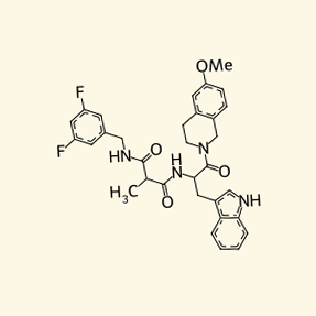 COc1ccc2c(c1)CCN(C(=O)C(Cc1c[nH]c3ccccc13)NC(=O)C(C)C(=O)NCc1cc(F)cc(F)c1)C2